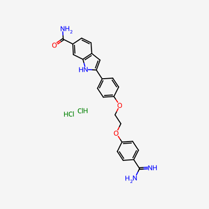 Cl.Cl.N=C(N)c1ccc(OCCOc2ccc(-c3cc4ccc(C(N)=O)cc4[nH]3)cc2)cc1